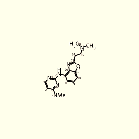 CNc1ccnc(Nc2cccc3oc(CCN(C)C)nc23)n1